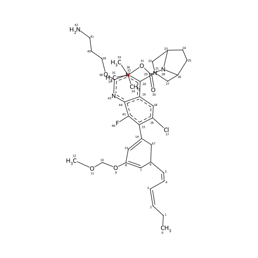 CC/C=C\C=C/C1C=C(OCOC)C=C(c2c(Cl)cc3c(N4CC5CCC(C4)N5C(=O)OC(C)(C)C)nc(OCCCN)nc3c2F)C1